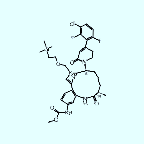 COC(=O)Nc1ccc2c(c1)NC(=O)[C@H](C)CCC[C@H](N1CCC(c3c(F)ccc(Cl)c3F)=CC1=O)c1nc-2cn1COCC[Si](C)(C)C